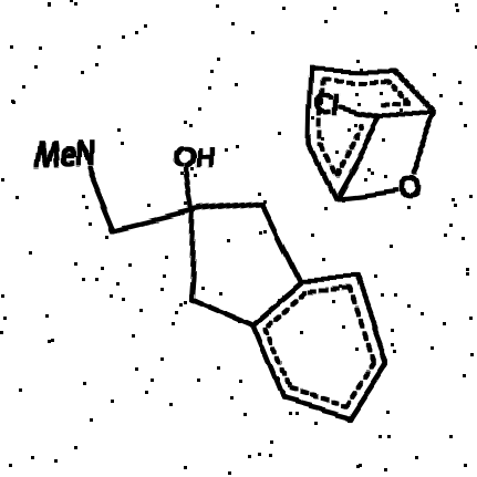 CNCC1(O)Cc2ccccc2C1.Clc1c2cccc1O2